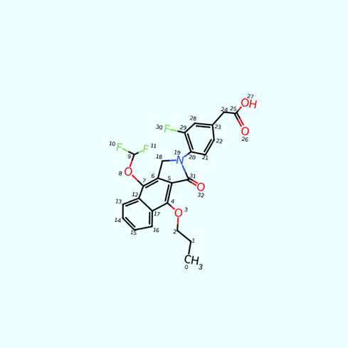 CCCOc1c2c(c(OC(F)F)c3ccccc13)CN(c1ccc(CC(=O)O)cc1F)C2=O